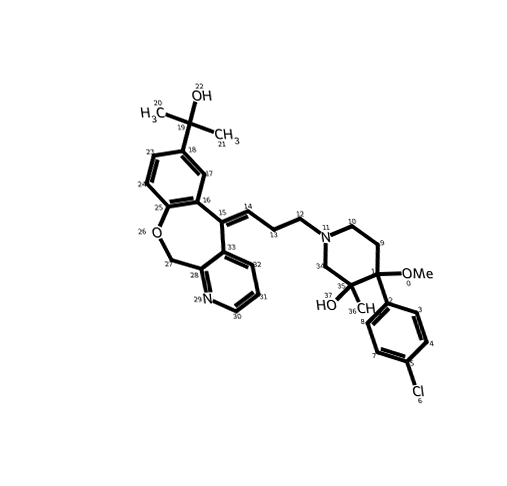 COC1(c2ccc(Cl)cc2)CCN(CC/C=C2/c3cc(C(C)(C)O)ccc3OCc3ncccc32)CC1(C)O